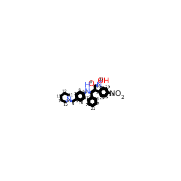 O=C1/C(=C(\Nc2ccc(CN3CCCCC3)cc2)c2ccccc2)c2ccc([N+](=O)[O-])cc2N1O